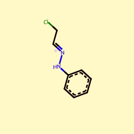 ClC/C=N/Nc1ccccc1